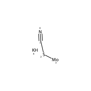 N#C[S][Mo].[KH]